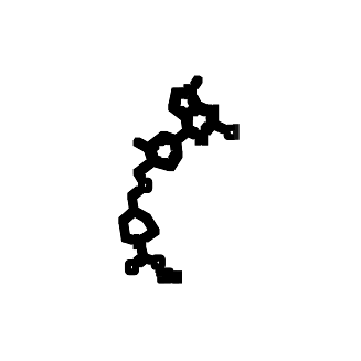 Cc1cc(-c2nc(Cl)nc3c2ccn3C)ccc1COCC1CCN(C(=O)OC(C)(C)C)CC1